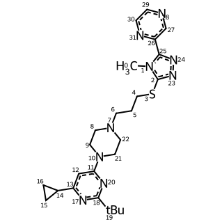 Cn1c(SCCCN2CCN(c3cc(C4CC4)nc(C(C)(C)C)n3)CC2)nnc1-c1cnccn1